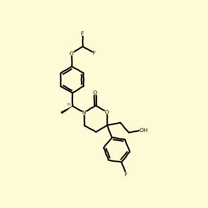 C[C@@H](c1ccc(OC(F)F)cc1)N1CCC(CCO)(c2ccc(F)cc2)OC1=O